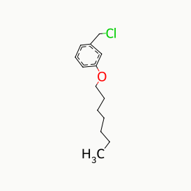 CCCCCCCOc1cccc(CCl)c1